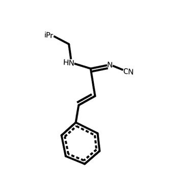 CC(C)CNC(/C=C/c1ccccc1)=N/C#N